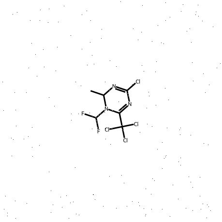 CC1N=C(Cl)N=C(C(Cl)(Cl)Cl)N1C(F)F